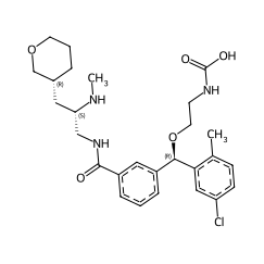 CN[C@H](CNC(=O)c1cccc([C@@H](OCCNC(=O)O)c2cc(Cl)ccc2C)c1)C[C@H]1CCCOC1